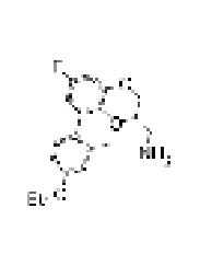 CCOc1ccc(-c2cc(F)cc3c2O[C@@H](CN)CO3)c(C)c1